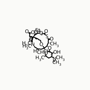 CC[C@H]1OC(=O)SC(=O)[C@H](C)[C@@H](O[C@@H]2O[C@H](C)CC(N(C)C)C2O)[C@]2(C)C[C@@H](C)CN(C)[C@H](C)[C@H]3C(C/C=C\CO2)C(=O)O[C@@]31C